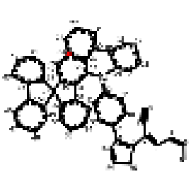 C#C/C(=C\C=C/C)C1=C(c2ccc(N(c3ccccc3-c3ccccc3)c3cccc4c3-c3ccccc3C43c4ccccc4-c4ccccc43)cc2)C=CC1